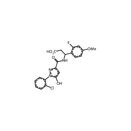 COc1ccc(C(CC(=O)O)NC(=O)c2cc(O)n(-c3ccccc3Cl)n2)c(F)c1